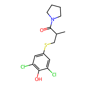 CC(CSc1cc(Cl)c(O)c(Cl)c1)C(=O)N1CCCC1